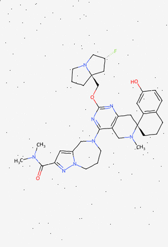 CN(C)C(=O)c1cc2n(n1)CCCN(c1nc(OC[C@@]34CCCN3C[C@H](F)C4)nc3c1CN(C)[C@]1(CCCc4ccc(O)cc41)C3)C2